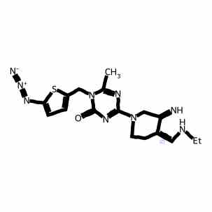 CCN/C=C1/CCN(c2nc(C)n(Cc3ccc(N=[N+]=[N-])s3)c(=O)n2)CC1=N